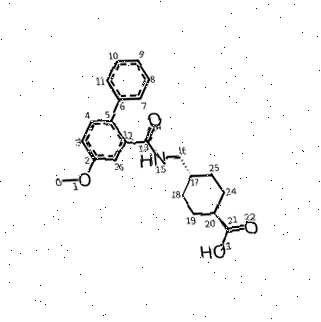 COc1ccc(-c2ccccc2)c(C(=O)NC[C@H]2CC[C@H](C(=O)O)CC2)c1